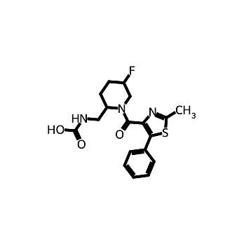 Cc1nc(C(=O)N2CC(F)CCC2CNC(=O)O)c(-c2ccccc2)s1